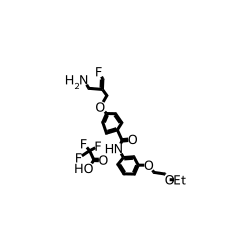 CCOCCOc1cccc(NC(=O)c2ccc(OC/C(=C/F)CN)cc2)c1.O=C(O)C(F)(F)F